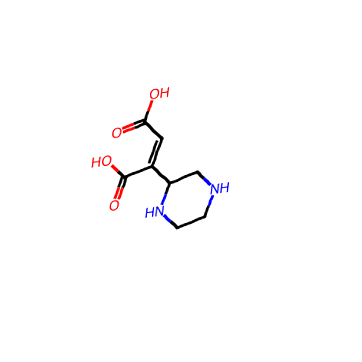 O=C(O)/C=C(\C(=O)O)C1CNCCN1